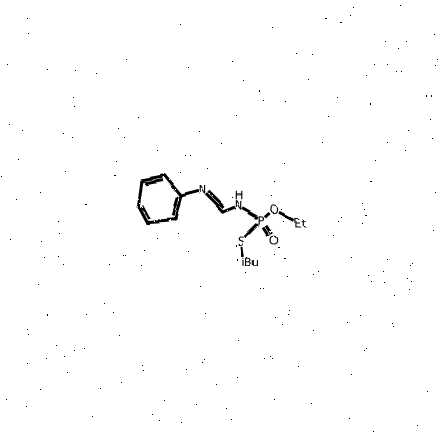 CCOP(=O)(NC=Nc1ccccc1)SC(C)CC